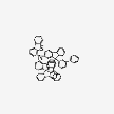 c1ccc(-c2cccc(C3(c4cccc(-c5ccccc5)c4)c4ccccc4-c4ccc(N(c5cccc6c5-c5ccccc5C65c6ccccc6-c6ccccc65)c5cccc6c5sc5ccccc56)cc43)c2)cc1